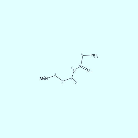 CNCCC(C)OC(=O)CN